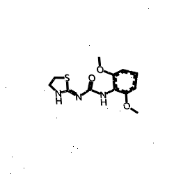 COc1cccc(OC)c1NC(=O)N=C1NCCS1